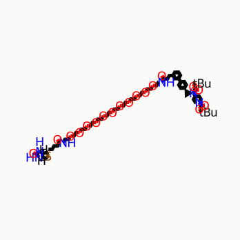 CC(C)(C)OC(=O)N1CCC(N(C(=O)OC(C)(C)C)[C@@H]2C[C@H]2c2ccc(-c3cccc(CCC(=O)NCCOCCOCCOCCOCCOCCOCCOCCOCCOCCOCCOCCNC(=O)CCCC[C@@H]4SC[C@@H]5NC(=O)N[C@@H]54)c3)cc2)CC1